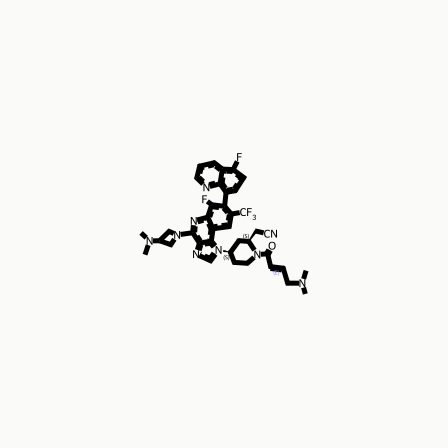 CN(C)C/C=C/C(=O)N1CC[C@H](n2cnc3c(N4CC(N(C)C)C4)nc4c(F)c(-c5ccc(F)c6cccnc56)c(C(F)(F)F)cc4c32)C[C@H]1CC#N